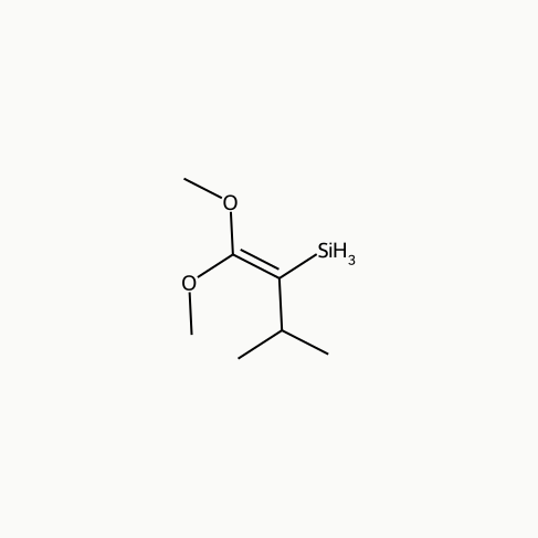 COC(OC)=C([SiH3])C(C)C